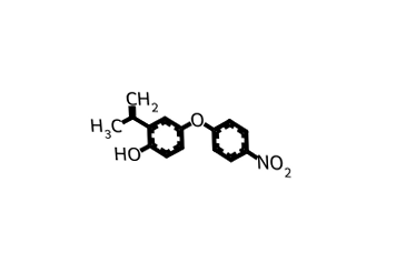 C=C(C)c1cc(Oc2ccc([N+](=O)[O-])cc2)ccc1O